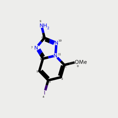 COc1cc(I)cc2nc(N)nn12